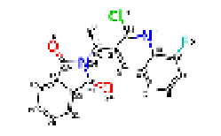 C[C@@H](c1cc2cccc(F)c2nc1Cl)N1C(=O)c2ccccc2C1=O